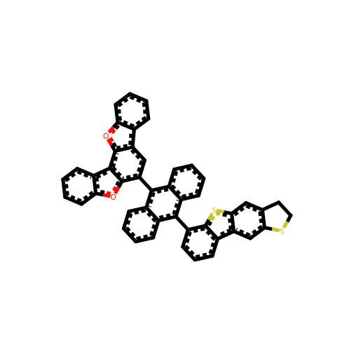 c1ccc2c(c1)oc1c2cc(-c2c3ccccc3c(-c3cccc4c3sc3cc5c(cc34)SCC5)c3ccccc23)c2oc3ccccc3c21